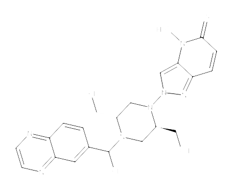 CC[C@@H]1CN(n2cc3c(ccc(=O)n3C)n2)[C@@H](CC)CN1C(C)c1ccc2nccnc2c1